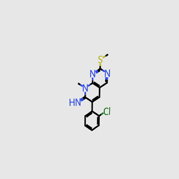 CSc1ncc2cc(-c3ccccc3Cl)c(=N)n(C)c2n1